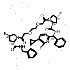 O=C(NCc1ccccc1)[C@@H]1C[C@@H](F)CN1C(=O)COCCOCC(=O)N1C[C@H](F)C[C@H]1C(=O)N[C@@H](c1ccccc1)c1ccc(C2CC2)c(F)n1